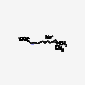 CC1(C)CC1CCCCC/C=C/C(=O)[O-].[Na+]